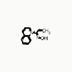 C=CC(=NO)[n+]1cccc2ccccc21